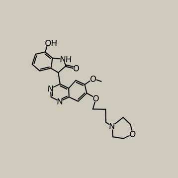 COc1cc2c(C3C(=O)Nc4c(O)cccc43)ncnc2cc1OCCCN1CCOCC1